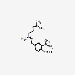 CCOC(=O)c1ccc(C/C=C(\C)CCC=C(C)C)cc1N(C)N